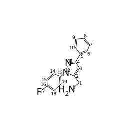 NCc1cc(-c2ccccc2)nn1-c1ccc(F)cc1